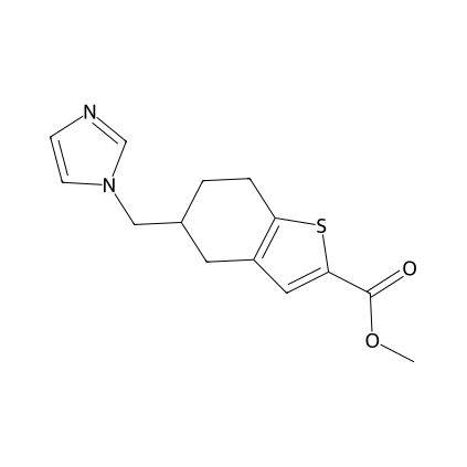 COC(=O)c1cc2c(s1)CCC(Cn1ccnc1)C2